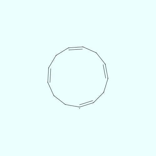 [C]1=CCC=CCC=CCC=CCC1